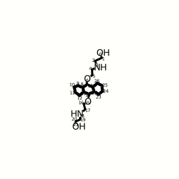 OCCNCCOc1c2ccccc2c(OCCNCCO)c2ccccc12